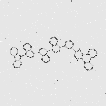 c1cc(-c2cnc3c4ccccc4c4ccccc4c3n2)cc(-c2ccc(-c3ccc(-c4ccc(-n5c6ccccc6c6ccccc65)c5ccccc45)c4ccccc34)c3ccccc23)c1